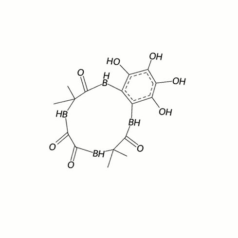 CC1(C)BC(=O)C(=O)BC(C)(C)C(=O)Bc2c(O)c(O)c(O)c(O)c2BC1=O